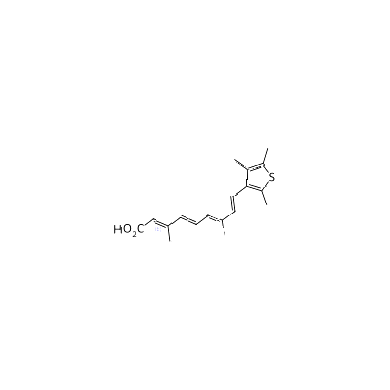 CC(C=Cc1c(C)sc(C)c1C)=CC=C/C(C)=C/C(=O)O